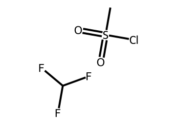 CS(=O)(=O)Cl.FC(F)F